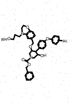 COCCCN1CCOc2ccc(COC3CN(C(=O)OCc4ccccc4)CC(O)C3c3ccc(Oc4ccc(C(C)=O)cc4)cc3)cc21